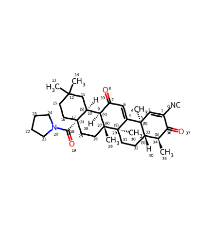 [C-]#[N+]C1=C[C@]2(C)C3=CC(=O)[C@@H]4[C@@H]5CC(C)(C)CC[C@]5(C(=O)N5CCCC5)CC[C@@]4(C)[C@]3(C)CC[C@H]2[C@H](C)C1=O